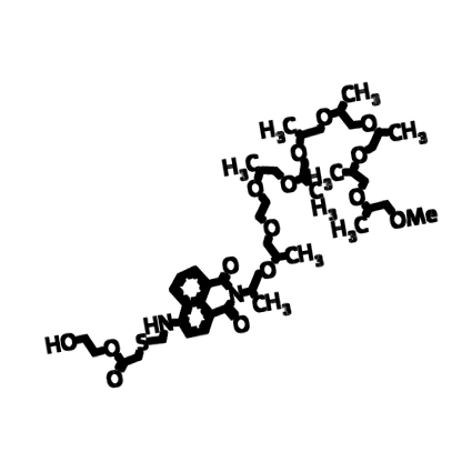 COCC(C)OCC(C)OCC(C)OCC(C)OCC(C)OCC(C)OCC(C)OCCOCC(C)OCC(C)N1C(=O)c2cccc3c(NCSCC(=O)OCCO)ccc(c23)C1=O